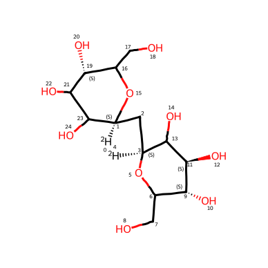 [2H][C@@]1(C[C@]2([2H])OC(CO)[C@@H](O)[C@H](O)C2O)OC(CO)[C@@H](O)C(O)C1O